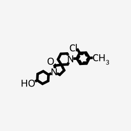 Cc1ccc(N2CCCC3(CCN(C4CCC(O)CC4)C3=O)C2)c(Cl)c1